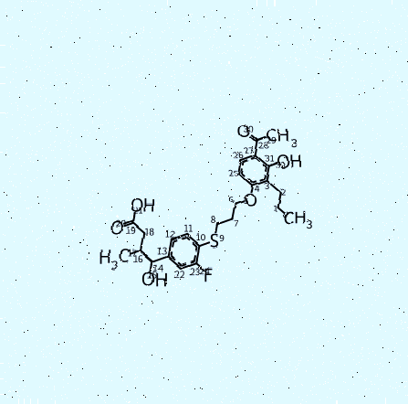 CCCc1c(OCCCSc2ccc(C(O)C(C)CC(=O)O)cc2F)ccc(C(C)=O)c1O